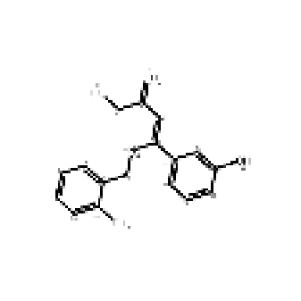 C=C(/C=C(\NCc1ccccc1C)c1cccc(O)c1)CO